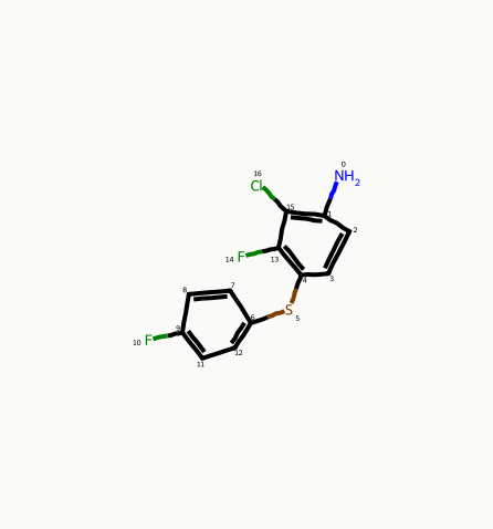 Nc1ccc(Sc2ccc(F)cc2)c(F)c1Cl